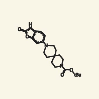 CC(C)(C)OC(=O)N1CCC2(CC1)CCN(c1ccc3[nH]c(=O)oc3c1)CC2